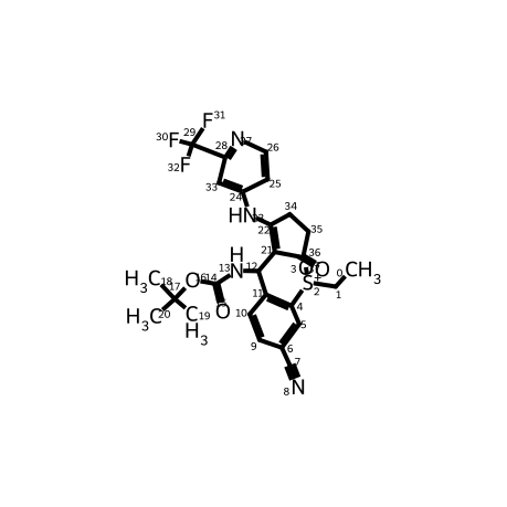 CC[S+]([O-])c1cc(C#N)ccc1C(NC(=O)OC(C)(C)C)C1=C(Nc2ccnc(C(F)(F)F)c2)CCC1=O